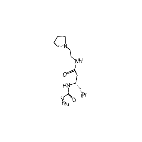 CC(C)C[C@@H](CC(=O)NCCN1CCCC1)NC(=O)OC(C)(C)C